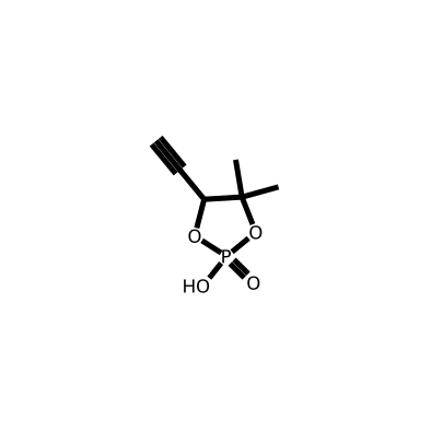 C#CC1OP(=O)(O)OC1(C)C